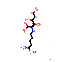 NC(CCCCN/C(=C(\O)C(O)CCO)C(O)O)C(=O)O